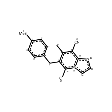 CSc1ccc(Cc2c(C)c(C#N)c3nccn3c2Cl)cc1